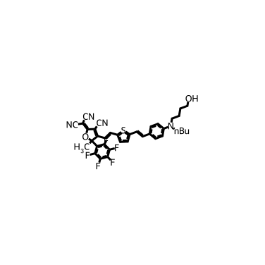 CCCCN(CCCCO)c1ccc(/C=C/c2ccc(/C=C/C3=C(C#N)C(=C(C#N)C#N)OC3(C)c3c(F)c(F)c(F)c(F)c3F)s2)cc1